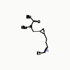 CC/C=C\CCC1CC1CN(C(=O)C(C)CC)C(C)(C)C